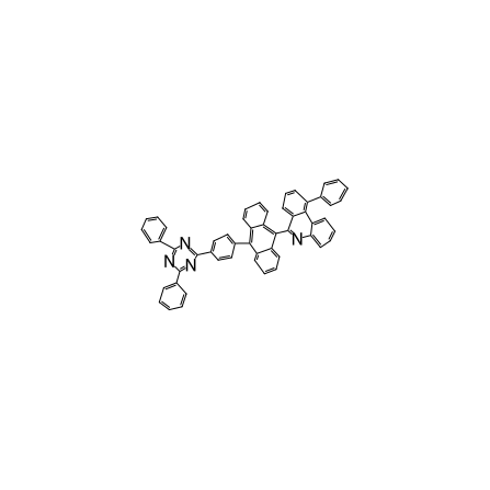 c1ccc(-c2nc(-c3ccccc3)nc(-c3ccc(-c4c5ccccc5c(-c5nc6ccccc6c6c(-c7ccccc7)cccc56)c5ccccc45)cc3)n2)cc1